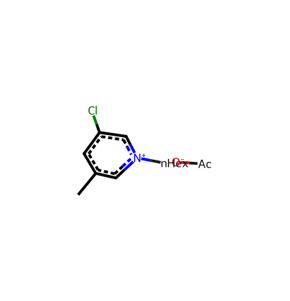 CC(=O)[O-].CCCCCC[n+]1cc(C)cc(Cl)c1